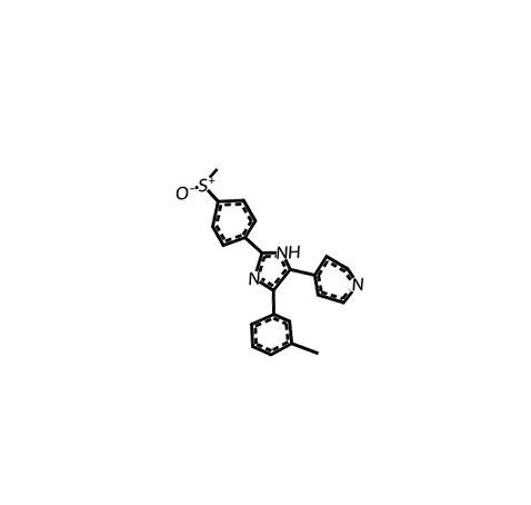 Cc1cccc(-c2nc(-c3ccc([S+](C)[O-])cc3)[nH]c2-c2ccncc2)c1